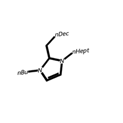 CCCCCCCCCCCC1N(CCCC)C=CN1CCCCCCC